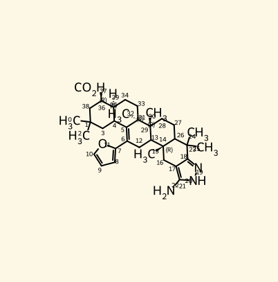 CC1(C)CC2C3=C(c4ccco4)CC4[C@@]5(C)Cc6c(n[nH]c6N)C(C)(C)C5CC[C@@]4(C)[C@]3(C)CC[C@@H]2[C@H](C(=O)O)C1